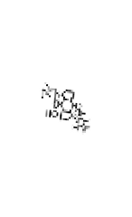 CC(CNc1cccc2c1C(=O)C1=C(C2=O)C(O)(NCC(C)[N+](C)(C)C)CC=C1O)[N+](C)(C)C